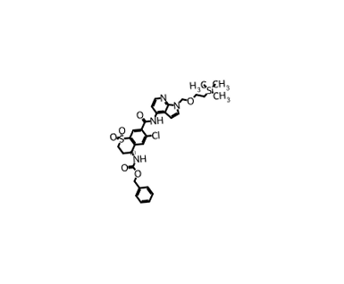 C[Si](C)(C)CCOCn1ccc2c(NC(=O)c3cc4c(cc3Cl)[C@@H](NC(=O)OCc3ccccc3)CCS4(=O)=O)ccnc21